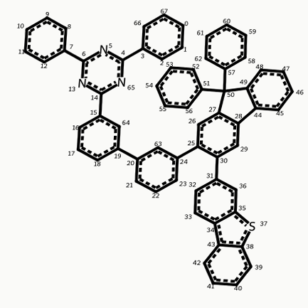 c1ccc(-c2nc(-c3ccccc3)nc(-c3cccc(-c4cccc(-c5cc6c(cc5-c5ccc7c(c5)sc5ccccc57)-c5ccccc5C6(c5ccccc5)c5ccccc5)c4)c3)n2)cc1